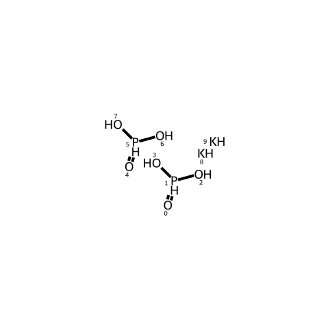 O=[PH](O)O.O=[PH](O)O.[KH].[KH]